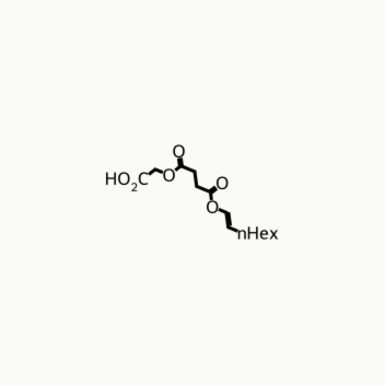 CCCCCCC=COC(=O)CCC(=O)OCC(=O)O